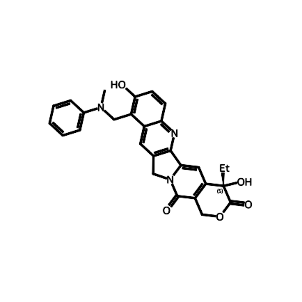 CC[C@@]1(O)C(=O)OCc2c1cc1n(c2=O)Cc2cc3c(CN(C)c4ccccc4)c(O)ccc3nc2-1